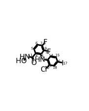 O=C(NO)c1ccc(F)c(F)c1Nc1ccc(I)cc1Cl